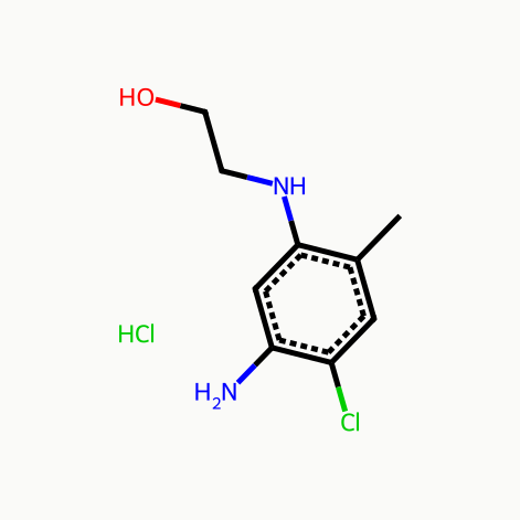 Cc1cc(Cl)c(N)cc1NCCO.Cl